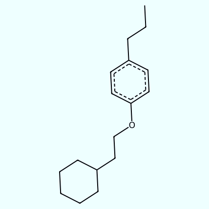 CCCc1ccc(OCCC2CCCCC2)cc1